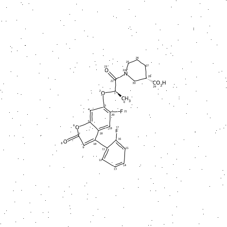 C[C@@H](Oc1cc2oc(=O)cc(-c3ccccc3F)c2cc1F)C(=O)N1CCC[C@H](C(=O)O)C1